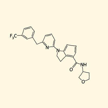 O=C(NC1CCOC1)c1cccc2c1CCN2c1cccc(Cc2cccc(C(F)(F)F)c2)n1